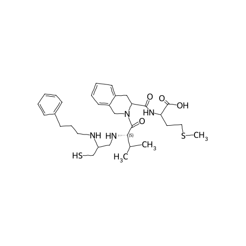 CSCCC(NC(=O)C1Cc2ccccc2CN1C(=O)[C@@H](NCC(CS)NCCCc1ccccc1)C(C)C)C(=O)O